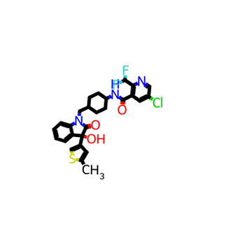 Cc1cc(C2(O)C(=O)N(CC3CCC(NC(=O)c4cc(Cl)cnc4C(F)F)CC3)c3ccccc32)cs1